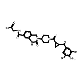 Nc1c(Br)cc(C(=O)C2CC2C(=O)N2CCC(N3Cc4ccc(C(=O)NCC(=O)O)cc4NC3=O)CC2)cc1Br